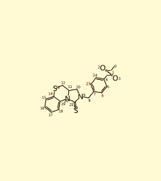 CS(=O)(=O)c1ccc(CN2CC3CSc4ccccc4N3C2=S)cc1